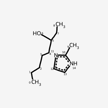 CCCCCC(O)CC.Cc1ncc[nH]1